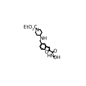 CCOC(=O)N1CCC(NCc2ccc3oc(C(=O)NO)cc3c2)CC1